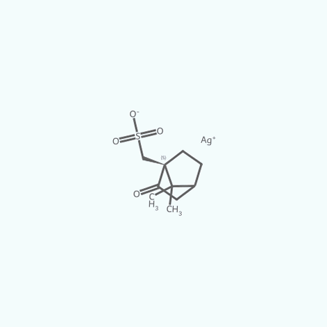 CC1(C)C2CC[C@@]1(CS(=O)(=O)[O-])C(=O)C2.[Ag+]